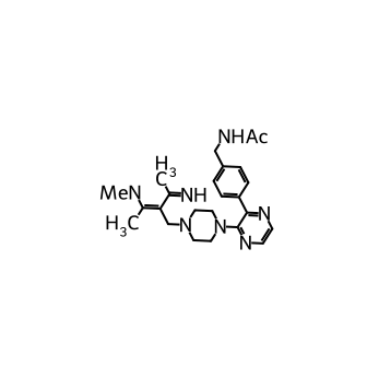 CN/C(C)=C(/CN1CCN(c2nccnc2-c2ccc(CNC(C)=O)cc2)CC1)C(C)=N